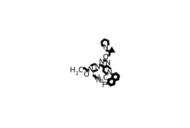 C=CC(=O)N1CCN(c2nc(OCC3(CN4CCCCC4)CC3)nc3c2CCN(c2cccc4ccc(F)c(C)c24)C3)C[C@@H]1CC#N